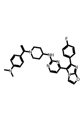 C=C(c1ccc(N(C)C)cc1)N1CCC(Nc2nccc(-c3c(-c4ccc(F)cc4)nc4occn34)n2)CC1